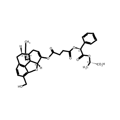 C[C@H](OC(=O)[C@@H](OC(=O)CCC(=O)OC1=CC[C@@]2(O)[C@H]3Cc4ccc(CO)c5c4[C@@]2(CCN3C)[C@H]1O5)c1ccccc1)C(=O)O